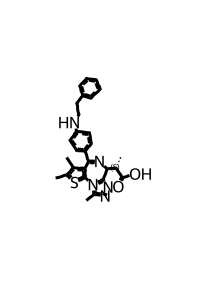 Cc1sc2c(c1C)C(c1ccc(NCCc3ccccc3)cc1)=NC([C@H](C)C(=O)O)c1nnc(C)n1-2